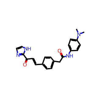 CN(C)c1ccc(NC(=O)Cc2ccc(C=CC(=O)c3ncc[nH]3)cc2)cc1